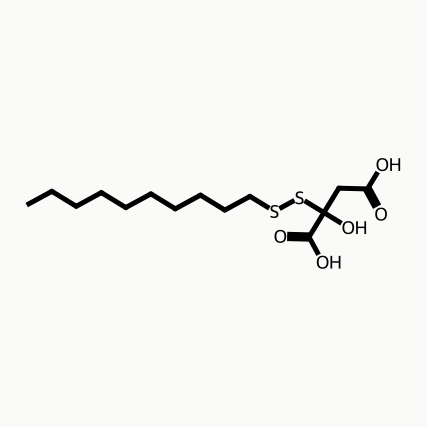 CCCCCCCCCCSSC(O)(CC(=O)O)C(=O)O